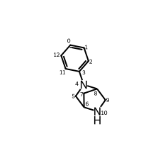 [c]1ccc(N2CC3CC2CN3)cc1